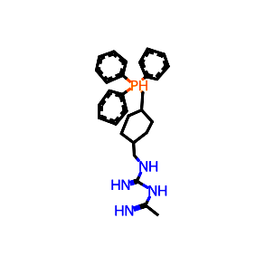 CC(=N)NC(=N)NCC1CCC(C[PH](c2ccccc2)(c2ccccc2)c2ccccc2)CC1